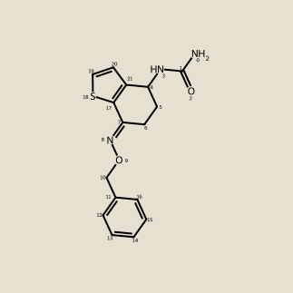 NC(=O)NC1CC/C(=N\OCc2ccccc2)c2sccc21